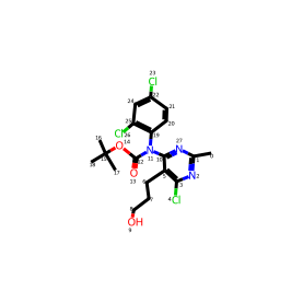 Cc1nc(Cl)c(CCCO)c(N(C(=O)OC(C)(C)C)c2ccc(Cl)cc2Cl)n1